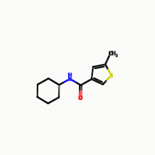 Cc1cc(C(=O)NC2CCCCC2)cs1